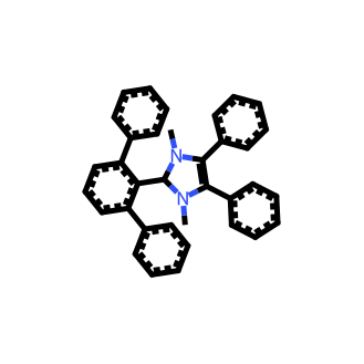 CN1C(c2ccccc2)=C(c2ccccc2)N(C)C1c1c(-c2ccccc2)cccc1-c1ccccc1